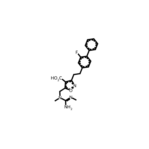 CN=C(N)N(C)Cc1onc(CCc2ccc(-c3ccccc3)c(F)c2)c1C(=O)O